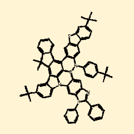 CC(C)(C)c1ccc(N2B3c4cc5nc(-c6ccccc6)n(-c6ccccc6)c5cc4-n4c5ccc(C(C)(C)C)cc5c5c6c(c(c3c54)-c3cc4sc5cc(C(C)(C)C)ccc5c4cc32)-c2ccccc2C6(C)C)cc1